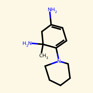 CC1(N)CC(N)=CC=C1N1CCCCC1